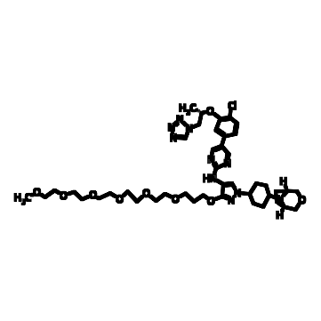 COCCOCCOCCOCCOCCOCCCOc1nn(C2CCC(N3[C@@H]4CC[C@H]3COC4)CC2)cc1Nc1ncc(-c2ccc(Cl)c(O[C@@H](C)Cn3cnnn3)c2)cn1